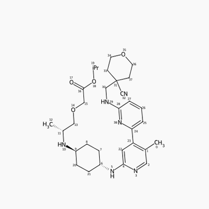 Cc1cnc(N[C@H]2CC[C@H](N[C@H](C)COCC(=O)OC(C)C)CC2)cc1-c1cccc(NCC2(C#N)CCOCC2)n1